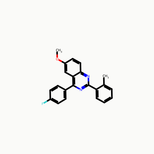 COc1ccc2nc(-c3ccccc3C)nc(-c3ccc(F)cc3)c2c1